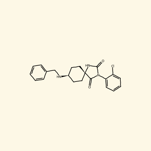 O=C1N[C@]2(CC[C@H](NCc3ccccc3)CC2)C(=O)N1c1ccccc1Cl